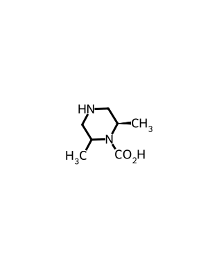 CC1CNC[C@@H](C)N1C(=O)O